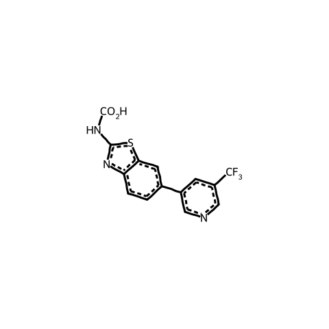 O=C(O)Nc1nc2ccc(-c3cncc(C(F)(F)F)c3)cc2s1